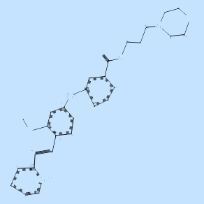 COc1cc(Nc2cccc(C(=O)NCCCN3CCOCC3)c2)ccc1/C=C/c1ccccn1